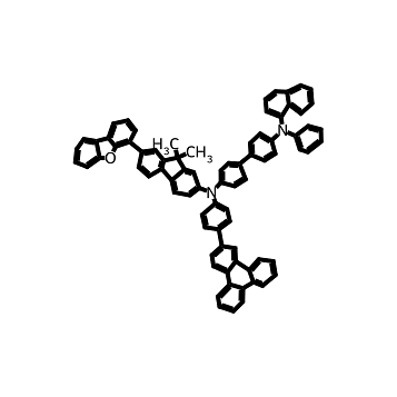 CC1(C)c2cc(-c3cccc4c3oc3ccccc34)ccc2-c2ccc(N(c3ccc(-c4ccc(N(c5ccccc5)c5cccc6ccccc56)cc4)cc3)c3ccc(-c4ccc5c6ccccc6c6ccccc6c5c4)cc3)cc21